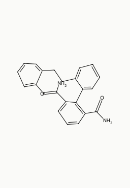 NC(=O)c1cccc(C(N)=O)c1-c1ccccc1CCc1ccccc1F